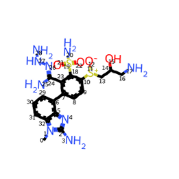 Cn1c(N)nc2c(-c3ccc([S+]([O-])CC(O)CN)c(S(N)(=O)=O)c3/C(N)=N/NN)cccc21